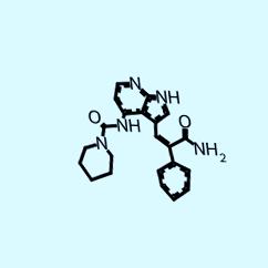 NC(=O)C(=Cc1c[nH]c2nccc(NC(=O)N3CCCCC3)c12)c1ccccc1